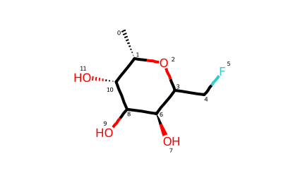 C[C@@H]1OC(CF)[C@@H](O)C(O)[C@@H]1O